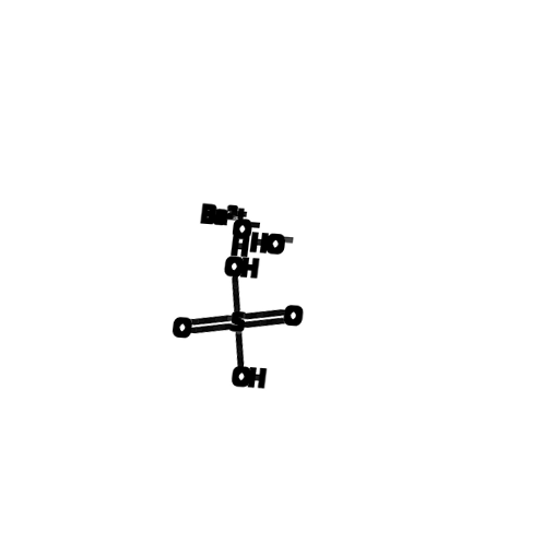 O=S(=O)(O)O.[Ba+2].[OH-].[OH-]